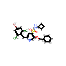 O=S(=O)(NC1CCC1)c1cc(Cc2c(Cl)cc(Br)cc2Cl)ncc1OCc1ccccc1